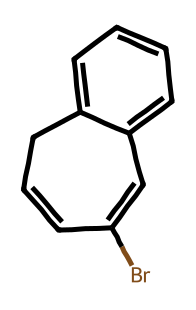 BrC1=Cc2ccccc2CC=C1